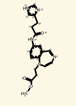 COC(=O)CCN1C=CN=Cc2cc(NC(=O)CCc3c[nH]cn3)ccc21